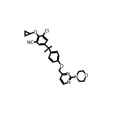 CC(C)(c1ccc(OCc2ccnc(N3CCOCC3)n2)cc1)c1cc(Cl)c(OC2CC2)c(C#N)c1